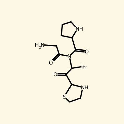 CC(C)C(C(=O)C1NCCS1)N(C(=O)CN)C(=O)C1CCCN1